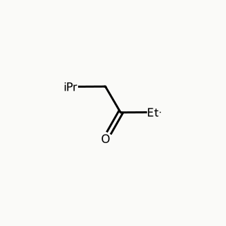 C[CH]C(=O)CC(C)C